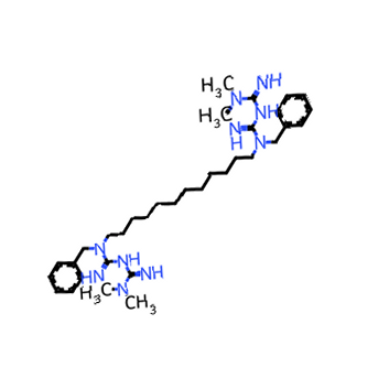 CN(C)C(=N)NC(=N)N(CCCCCCCCCCCCN(Cc1ccccc1)C(=N)NC(=N)N(C)C)Cc1ccccc1